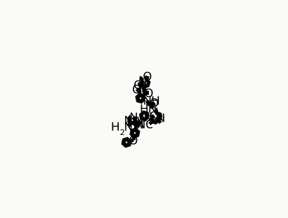 CN1C(=O)CCC(N2C(=O)c3cccc(NCC(=O)NCCCN(C)C(C)(C)C=C(C#N)C(=O)N4CCC[C@@H](n5nc(-c6ccc(Oc7ccccc7)cc6)c6c(N)ncnc65)C4)c3C2=O)C1=O